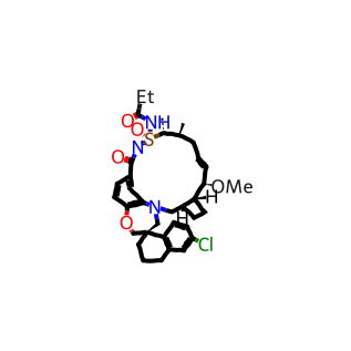 CCC(=O)NS1(=O)=NC(=O)c2ccc3c(c2)N(C[C@@H]2CC[C@H]2[C@@H](OC)/C=C/C[C@H](C)[C@H]1C)C[C@@]1(CCCc2cc(Cl)ccc21)CO3